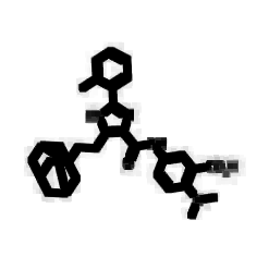 Cc1ccccc1-c1nc(C(=O)Nc2ccc(N(C)C)c(C(=O)O)c2)c(CCC23CC4CC(CC(C4)C2)C3)[nH]1